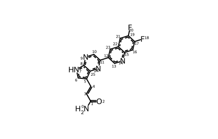 NC(=O)C=Cc1c[nH]c2ncc(-c3cnc4cc(F)c(F)cc4c3)nc12